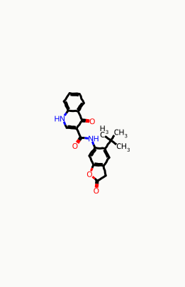 CC(C)(C)c1cc2c(cc1NC(=O)c1c[nH]c3ccccc3c1=O)OC(=O)C2